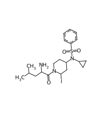 CC(C)CC(N)C(=O)N1CCC(N(C2CC2)S(=O)(=O)c2ccccc2)CC1I